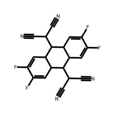 N#CC(C#N)C1C2C=C(F)C(F)=CC2C(C(C#N)C#N)C2C=C(F)C(F)=CC21